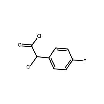 O=C(Cl)C(Cl)c1ccc(F)cc1